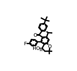 CC(C)c1cc2c(c(-c3ccc(F)cc3)c1C(=O)c1ccc(C(C)(C)C)cc1)[C@H](O)CC(C)(C)O2